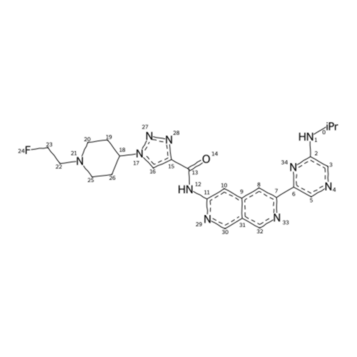 CC(C)Nc1cncc(-c2cc3cc(NC(=O)c4cn(C5CCN(CCF)CC5)nn4)ncc3cn2)n1